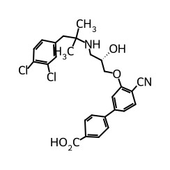 CC(C)(Cc1ccc(Cl)c(Cl)c1)NC[C@H](O)COc1cc(-c2ccc(C(=O)O)cc2)ccc1C#N